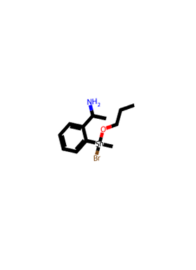 CCC[O][Sn]([CH3])([Br])[c]1ccccc1C(C)N